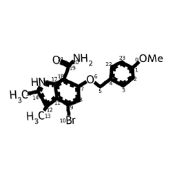 COc1ccc(COc2cc(Br)c3c(C)c(C)[nH]c3c2C(N)=O)cc1